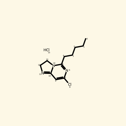 CCCCCC1=NC(Cl)=CC2=NCCN21.Cl